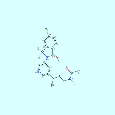 CCC(=O)N(C)CCC(CC)c1cncc(N2C(=O)c3ccc(Cl)cc3C2(C)C)c1